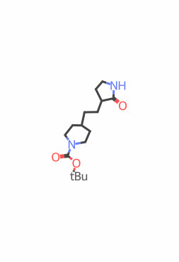 CC(C)(C)OC(=O)N1CCC(CCC2CCNC2=O)CC1